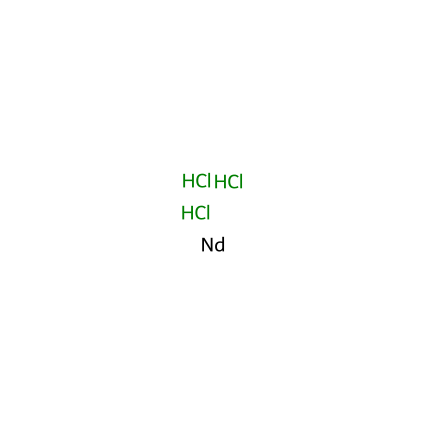 Cl.Cl.Cl.[Nd]